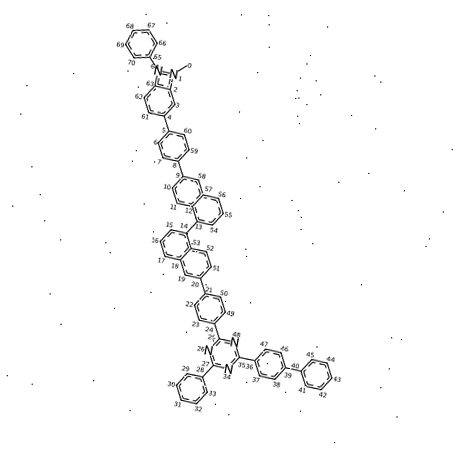 Cn1c2cc(-c3ccc(-c4ccc5c(-c6cccc7cc(-c8ccc(-c9nc(-c%10ccccc%10)nc(-c%10ccc(-c%11ccccc%11)cc%10)n9)cc8)ccc67)cccc5c4)cc3)ccc2n1-c1ccccc1